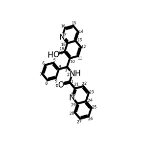 O=C(NC(c1ccccc1)c1ccc2cccnc2c1O)c1ccc2ccccc2n1